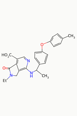 CCN1Cc2c(NC(C)c3ccc(Oc4ccc(C)cc4)cc3)ncc(C(=O)O)c2C1=O